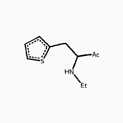 CCNC(Cc1cccs1)C(C)=O